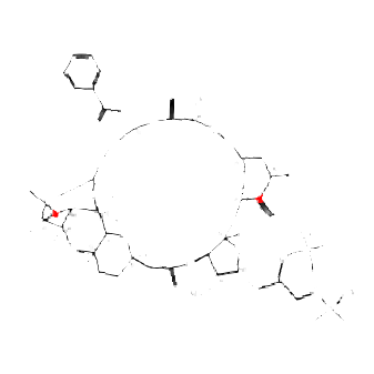 C=C1C[C@@H](OC(=O)c2ccccc2)CCC2O[C@@H]3[C@@H]4OC(CC)[C@H](O2)[C@@H]4O[C@H]2CC[C@H](CC(=O)CC4[C@H](C[C@H]5O[C@@H](CC[C@H]1O)C[C@@H](C)C5=C)O[C@H](CC(CO[Si](C)(C)C(C)(C)C)O[Si](C)(C)C(C)(C)C)[C@@H]4OC)O[C@H]32